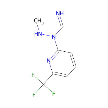 CNN(C=N)c1cccc(C(F)(F)F)n1